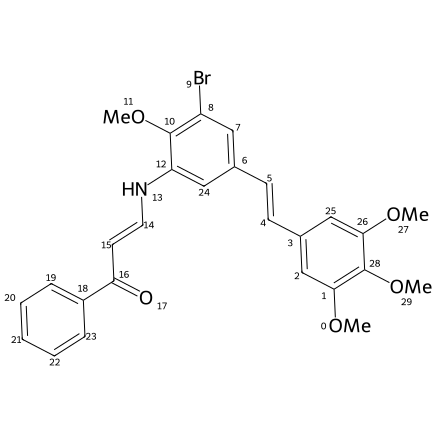 COc1cc(C=Cc2cc(Br)c(OC)c(NC=CC(=O)c3ccccc3)c2)cc(OC)c1OC